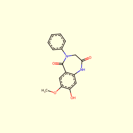 COc1cc2c(cc1O)NC(=O)CN(c1ccccc1)C2=O